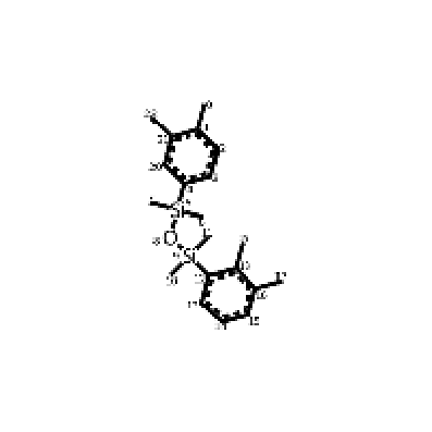 Cc1ccc([Si](C)(C)O[Si](C)(C)c2cccc(C)c2C)cc1C